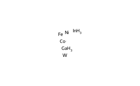 [Co].[Fe].[GaH3].[InH3].[Ni].[W]